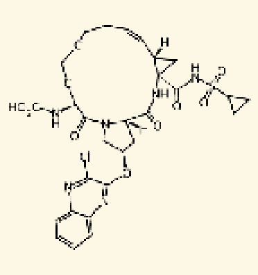 O=C(O)N[C@H]1CCCCC/C=C\[C@@H]2C[C@@]2(C(=O)NS(=O)(=O)C2CC2)NC(=O)[C@@H]2C[C@@H](Oc3nc4ccccc4nc3Cl)CN2C1=O